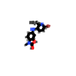 Cn1c(=O)oc2cc(Nc3ccc(Br)nc3C(=O)O)ccc21